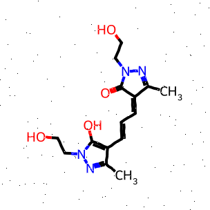 CC1=NN(CCO)C(=O)C1=CC=Cc1c(C)nn(CCO)c1O